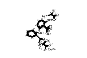 C=C(C)C(=O)[O-].C=C(C)C(=O)[O-].O=C(O)c1ccccc1O.O=C(O)c1ccccc1O.[Cu+2]